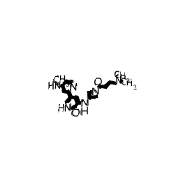 CNc1ccnc(-c2c[nH]c(=O)c(NC3CN(C(=O)C=CCN(C)C)C3)c2)c1